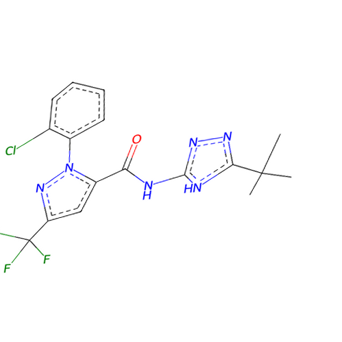 CC(C)(C)c1nnc(NC(=O)c2cc(C(F)(F)F)nn2-c2ccccc2Cl)[nH]1